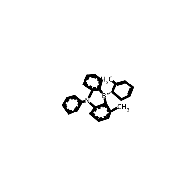 CC1=CC=CC[C@@H]1B1c2ccccc2N(c2ccccc2)c2cccc(C)c21